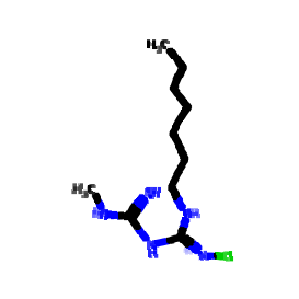 CCCCCCCN/C(=N\Cl)NC(=N)NC